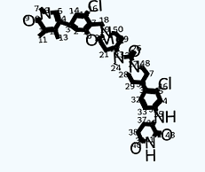 COc1cc(-c2cn(C)c(=O)c(C)c2C)cc(Cl)c1CN1CCC(N(C)C(=O)N2CCC(c3ccc(NC4CCC(=O)NC4=O)cc3Cl)CC2)CC1